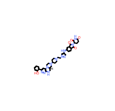 O=C1CCC(N2C(=O)c3ccc(Nc4cnn(CCN5CCC(N6CCN7c8cc(-c9ccccc9O)nnc8NC[C@H]7C6)CC5)c4)cc3C2=O)C(=O)N1